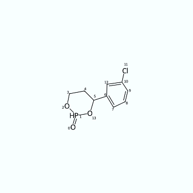 O=[PH]1OCCC(c2cccc(Cl)c2)O1